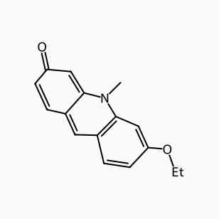 CCOc1ccc2cc3ccc(=O)cc-3n(C)c2c1